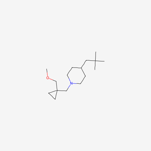 COCC1(CN2CCC(CC(C)(C)C)CC2)CC1